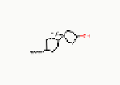 CCCCCC1CCC([Si]2(C)CCC(O)CC2)CC1